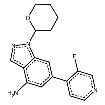 Nc1cc(-c2ccncc2F)cc2c1cnn2C1CCCCO1